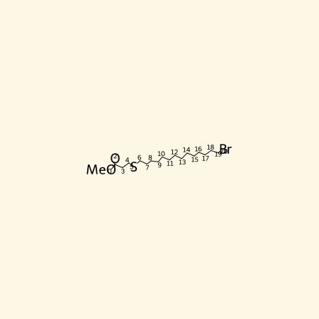 COC(=O)CCSCCCCCCCCCCCCCCBr